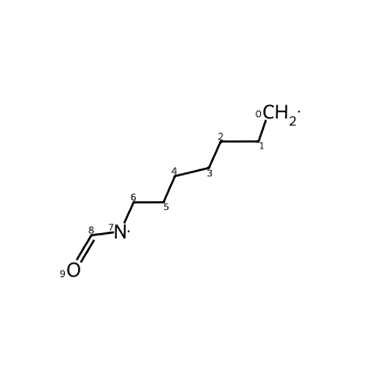 [CH2]CCCCCC[N]C=O